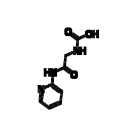 O=C(O)NCC(=O)Nc1ccccn1